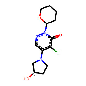 O=c1c(Cl)c(N2CC[C@@H](O)C2)cnn1C1CCCCO1